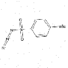 CCCCc1ccc(S(=O)(=O)N=[N+]=[N-])cc1